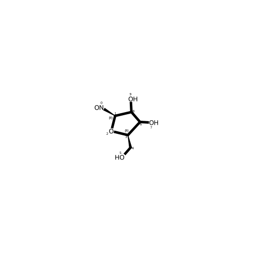 O=N[C@@H]1O[C@H](CO)C(O)C1O